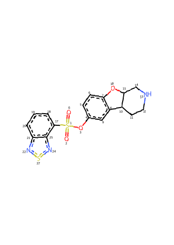 O=S(=O)(Oc1ccc2c(c1)C1CCNCC1O2)c1cccc2nsnc12